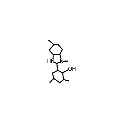 CC1CCC2C(C1)NC(C1CC(C)CC(C)C1O)N2C